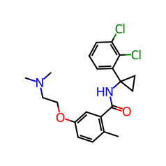 Cc1ccc(OCCN(C)C)cc1C(=O)NC1(c2cccc(Cl)c2Cl)CC1